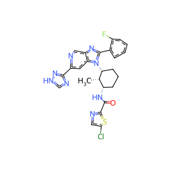 C[C@H]1[C@@H](NC(=O)c2ncc(Cl)s2)CCC[C@H]1n1c(-c2ccccc2F)nc2cnc(-c3nc[nH]n3)cc21